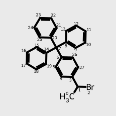 CC(Br)c1ccc(C(c2ccccc2)(c2ccccc2)c2ccccc2)cc1